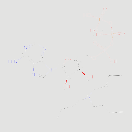 CCCCN(CCCC)CCCC.Nc1ncnc2c1ncn2[C@@H]1O[C@H](COP(=O)(O)OP(=O)(O)OP(=O)(O)O)[C@@H](O)[C@H]1O